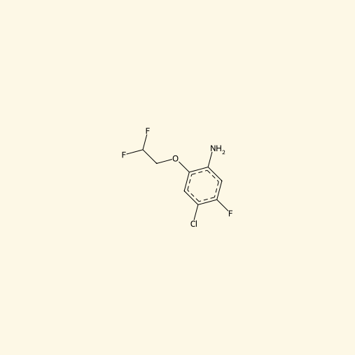 Nc1cc(F)c(Cl)cc1OCC(F)F